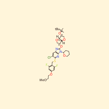 COCCOc1cc(F)c(CSc2nc3c(cc2Cl)nc(O[C@@H]2CO[C@H]4[C@@H]2OC[C@H]4O[Si](C)(C)C(C)(C)C)n3C2CCCCO2)c(F)c1